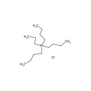 CCCC[P+](CCC)(CCCC)CCCC.[Cl-]